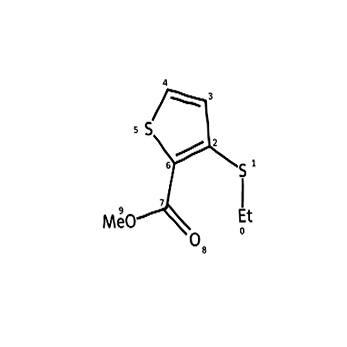 CCSc1ccsc1C(=O)OC